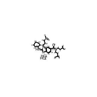 CC(C)CCN(CCC(C)C)C(=O)c1ccc2nc(NC3CCCCC3)n(CCCN(C)C)c2c1.Cl.Cl